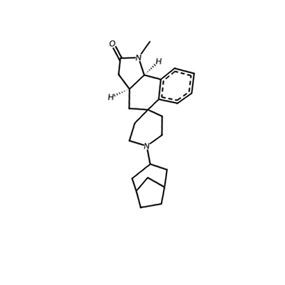 CN1C(=O)C[C@@H]2CC3(CCN(C4CC5CCC(C5)C4)CC3)c3ccccc3[C@@H]21